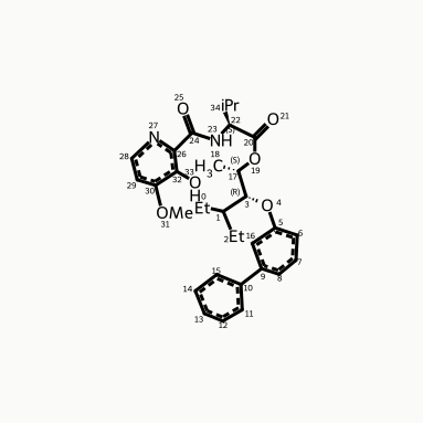 CCC(CC)[C@@H](Oc1cccc(-c2ccccc2)c1)[C@H](C)OC(=O)[C@@H](NC(=O)c1nccc(OC)c1O)C(C)C